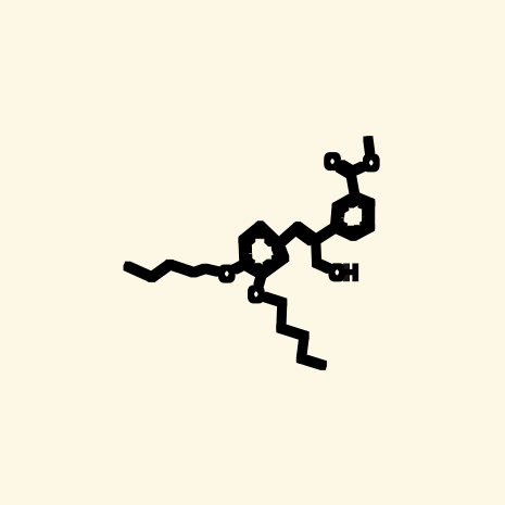 CCCCCOc1ccc(/C=C(\CO)c2cccc(C(=O)OC)c2)cc1OCCCCC